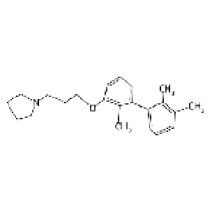 Cc1cccc(-c2cccc(OCCCN3CCCC3)c2C)c1C